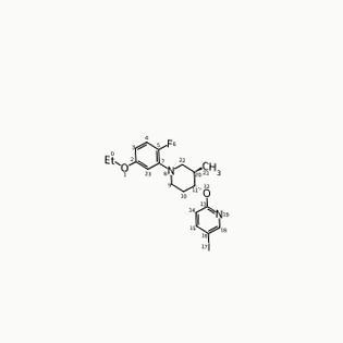 CCOc1ccc(F)c(N2CC[C@@H](Oc3ccc(I)cn3)[C@H](C)C2)c1